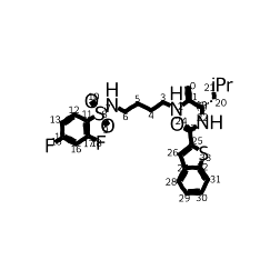 C=C(NCCCCNS(=O)(=O)c1ccc(F)cc1F)[C@H](CC(C)C)NC(=O)c1cc2ccccc2s1